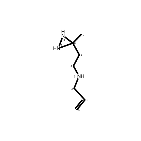 C=CCNCCC1(C)NN1